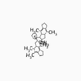 CC1=C2CCCC2=C(C)C(CC(C)[Si]2(C3C(C)CC4C(C)=C5CCCC5=C(C)C43)CCCC2)C1C